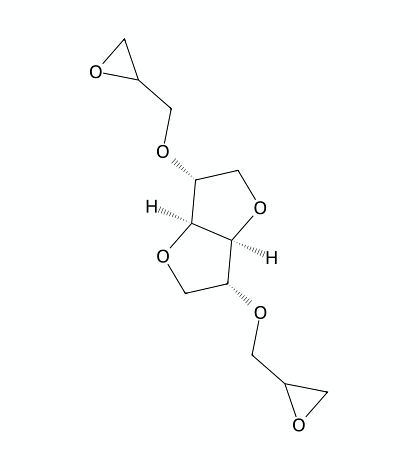 C1OC1CO[C@@H]1CO[C@@H]2[C@H]1OC[C@H]2OCC1CO1